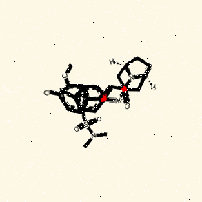 COc1cc(C=CC(=O)N2[C@@H]3CC[C@H]2CC(Nc2ccc(F)cc2)C3)c(S(=O)(=O)N(C)C)cc1Cl